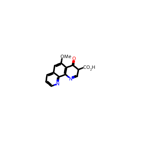 COc1cc2cccnc2c2c1C(=O)C(C(=O)O)C=N2